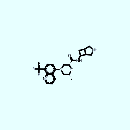 C[C@@H]1CN(c2ccc(C(F)(F)F)c3ncccc23)C[C@H](C(=O)NC2CC3CNCC32)O1